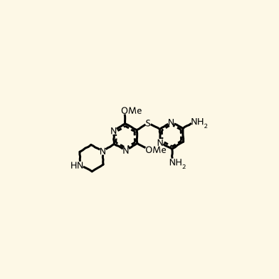 COc1nc(N2CCNCC2)nc(OC)c1Sc1nc(N)cc(N)n1